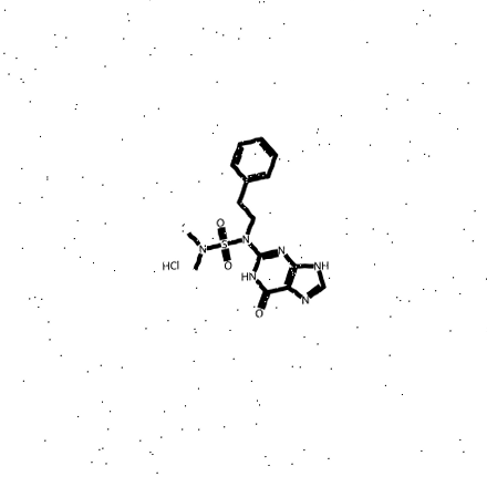 CN(C)S(=O)(=O)N(CCc1ccccc1)c1nc2[nH]cnc2c(=O)[nH]1.Cl